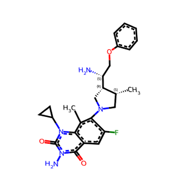 Cc1c(N2C[C@H]([C@H](N)COc3ccccc3)[C@H](C)C2)c(F)cc2c(=O)n(N)c(=O)n(C3CC3)c12